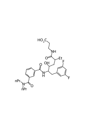 CCCN(CCC)C(=O)c1cccc(C(=O)NC(Cc2cc(F)cc(F)c2)C(O)CC(CC)C(=O)NCCC(=O)O)c1